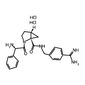 Cl.Cl.N=C(N)c1ccc(CNC(=O)[C@]23C[C@H]2CCN3C(=O)[C@H](N)c2ccccc2)cc1